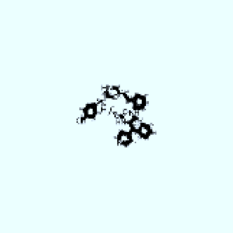 COC(=O)N[C@@H](C(=O)Nc1ccccc1CC[C@@H]1CNC[C@@H](CSc2ccc(Cl)cc2)O1)C(c1ccccc1)c1ccncc1